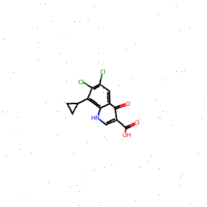 O=C(O)c1c[nH]c2c(C3CC3)c(Cl)c(Cl)cc2c1=O